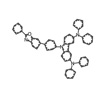 c1ccc(-c2nc3ccc(-c4ccc(-n5c6ccc(N(c7ccccc7)c7ccccc7)cc6c6cc(N(c7ccccc7)c7ccccc7)ccc65)cc4)cc3o2)cc1